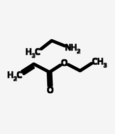 C=CC(=O)OCC.CCN